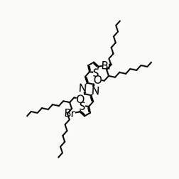 CCCCCCCCCCC(CCCCCCCC)COc1nc(=Cc2ccc(Br)s2)c(OCC(CCCCCCCC)CCCCCCCCCC)nc1=Cc1ccc(Br)s1